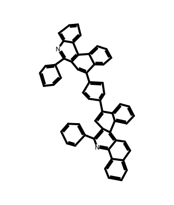 c1ccc(-c2nc3ccccc3c3c2cc(-c2ccc(-c4cc5c(-c6ccccc6)nc6c7ccccc7ccc6c5c5ccccc45)cc2)c2ccccc23)cc1